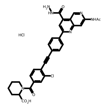 CC(=O)Nc1cc2nc(-c3ccc(C#Cc4ccc(C(=O)N5CCCCC5C(=O)O)cc4Cl)cc3)cc(C(=O)NN)c2cn1.Cl